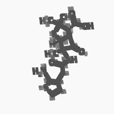 CC1(C)S[C@H]2N(C(=O)[C@]2(C)NC(=O)Cc2ccsc2N)[C@H]1C(=O)O